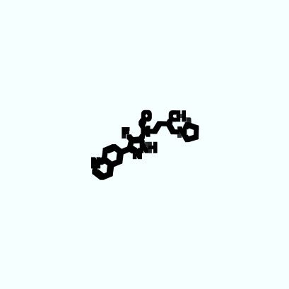 CC(CCN(C=O)c1[nH]nc(-c2ccc3ncccc3c2)c1F)CN1CCCC1